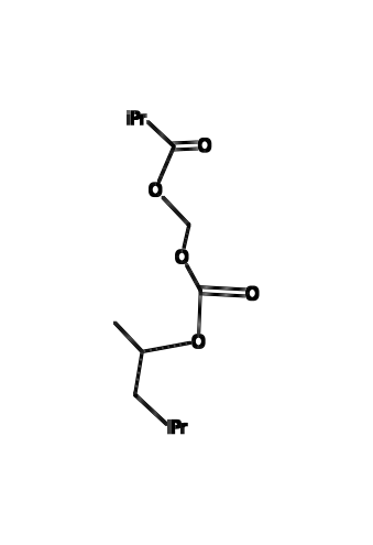 CC(C)CC(C)OC(=O)OCOC(=O)C(C)C